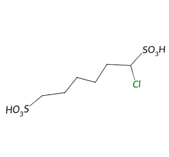 O=S(=O)(O)CCCCCC(Cl)S(=O)(=O)O